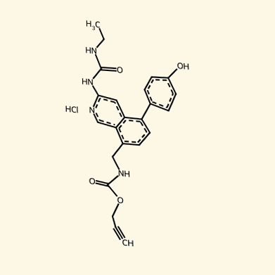 C#CCOC(=O)NCc1ccc(-c2ccc(O)cc2)c2cc(NC(=O)NCC)ncc12.Cl